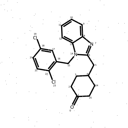 O=C1CCC(Cc2nc3ccccc3n2Cc2cc(Cl)ccc2Cl)CC1